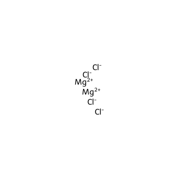 [Cl-].[Cl-].[Cl-].[Cl-].[Mg+2].[Mg+2]